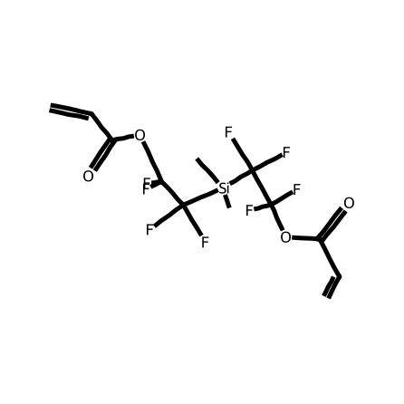 C=CC(=O)OC(F)(F)C(F)(F)[Si](C)(C)C(F)(F)C(F)(F)OC(=O)C=C